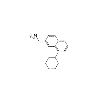 NCc1ccc2cccc(C3CCCCC3)c2c1